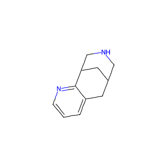 c1cnc2c(c1)CC1CNCC2C1